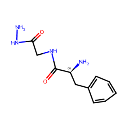 NNC(=O)CNC(=O)[C@@H](N)Cc1ccccc1